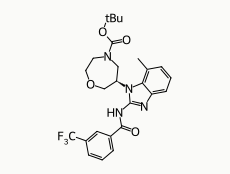 Cc1cccc2nc(NC(=O)c3cccc(C(F)(F)F)c3)n([C@H]3COCCN(C(=O)OC(C)(C)C)C3)c12